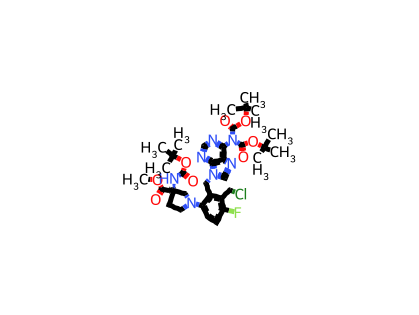 COC(=O)[C@@]1(NC(=O)OC(C)(C)C)CCN(c2ccc(F)c(CCl)c2Cn2cnc3c(N(C(=O)OC(C)(C)C)C(=O)OC(C)(C)C)ncnc32)C1